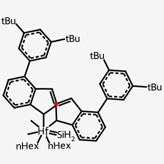 CCCCC[CH2][Hf]([CH3])([CH3])(=[SiH2])([CH2]CCCCC)([CH]1C=Cc2c(-c3cc(C(C)(C)C)cc(C(C)(C)C)c3)cccc21)[CH]1C=Cc2c(-c3cc(C(C)(C)C)cc(C(C)(C)C)c3)cccc21